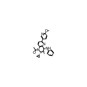 COc1ccc(-c2ccc3c(n2)[C@H](Nc2ccccc2)[C@@H](C)[C@H](C2CC2)N3C(C)=O)cn1